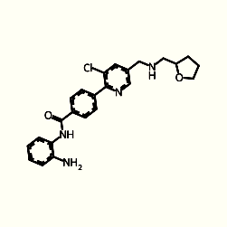 Nc1ccccc1NC(=O)c1ccc(-c2ncc(CNCC3CCCO3)cc2Cl)cc1